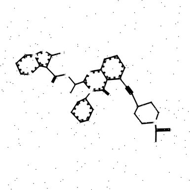 CC(=O)N1CCC(C#Cc2cccc3nc(C(C)NC(=O)c4c(N)nn5cccnc45)n(-c4ccccc4)c(=O)c23)CC1